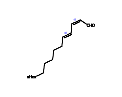 CCCCCCCCCCC/C=C/C=C\C=O